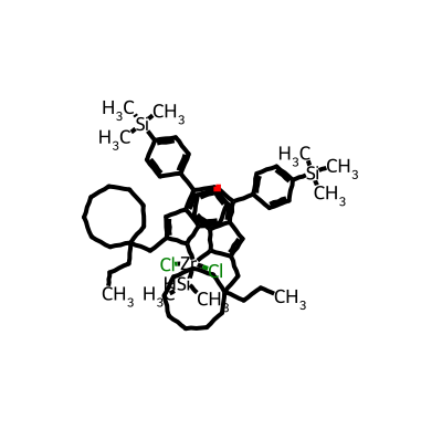 CCCC1(CC2=Cc3c(-c4ccc([Si](C)(C)C)cc4)cccc3[CH]2[Zr]([Cl])([Cl])([CH]2C(CC3(CCC)CCCCCCCC3)=Cc3c(-c4ccc([Si](C)(C)C)cc4)cccc32)[SiH](C)C)CCCCCCCC1